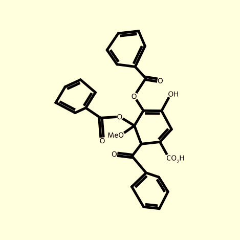 COC1(OC(=O)c2ccccc2)C(OC(=O)c2ccccc2)=C(O)C=C(C(=O)O)C1C(=O)c1ccccc1